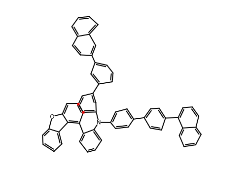 c1cc(-c2cccc(N(c3ccc(-c4ccc(-c5cccc6ccccc56)cc4)cc3)c3ccccc3-c3cccc4oc5ccccc5c34)c2)cc(-c2ccc3ccccc3c2)c1